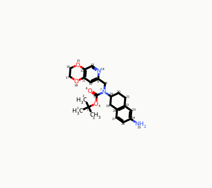 CC(C)(C)OC(=O)N(Cc1cc2c(cn1)OCCO2)C1CCc2cc(N)ccc2C1